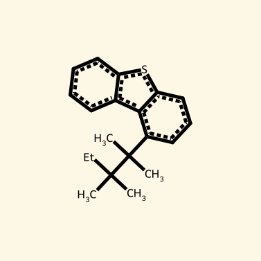 CCC(C)(C)C(C)(C)c1cccc2sc3ccccc3c12